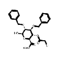 COC(=O)[C@H]1O[C@@H](O)[C@H](OCc2ccccc2)[C@@H](OCc2ccccc2)[C@@H]1OC(=O)CCl